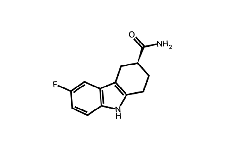 NC(=O)[C@H]1CCc2[nH]c3ccc(F)cc3c2C1